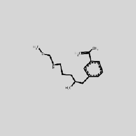 C=C(C)c1cccc(CC(C)CCCNCOC)c1